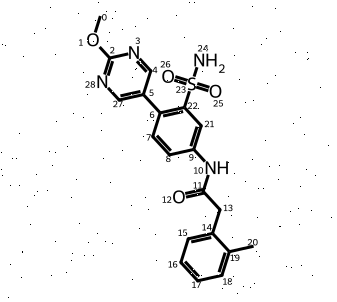 COc1ncc(-c2ccc(NC(=O)Cc3ccccc3C)cc2S(N)(=O)=O)cn1